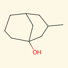 CC1CC2CCCC(O)(C1)C2